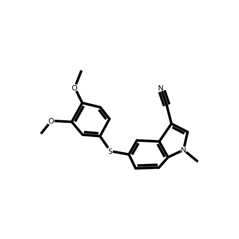 COc1ccc(Sc2ccc3c(c2)c(C#N)cn3C)cc1OC